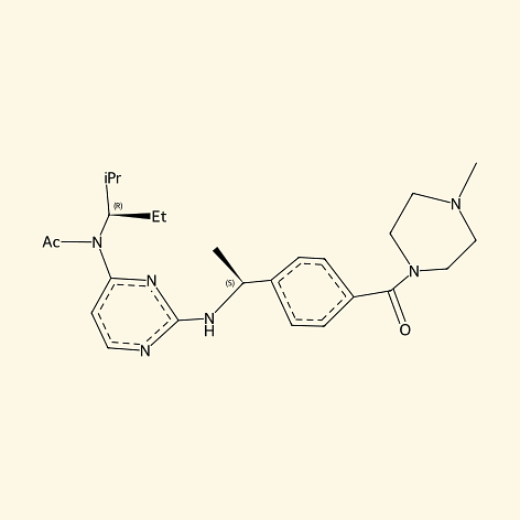 CC[C@H](C(C)C)N(C(C)=O)c1ccnc(N[C@@H](C)c2ccc(C(=O)N3CCN(C)CC3)cc2)n1